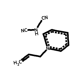 C=CC[n+]1ccccc1.N#CNC#N